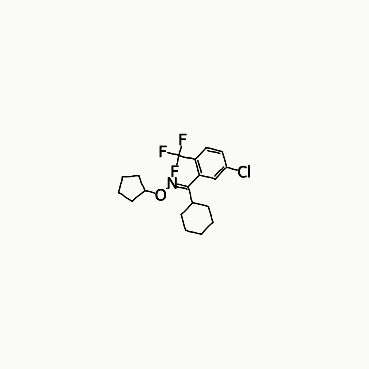 FC(F)(F)c1ccc(Cl)cc1/C(=N/OC1CCCC1)C1CCCCC1